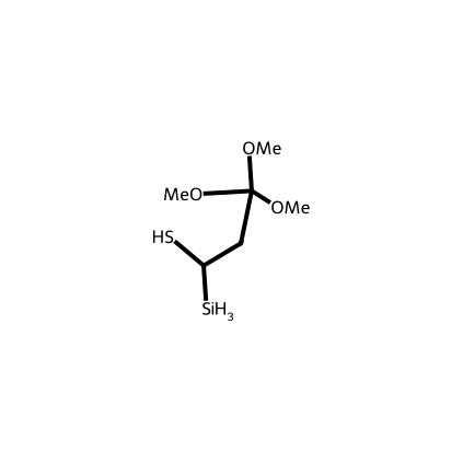 COC(CC([SiH3])S)(OC)OC